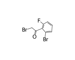 O=C(CBr)c1c(F)cccc1Br